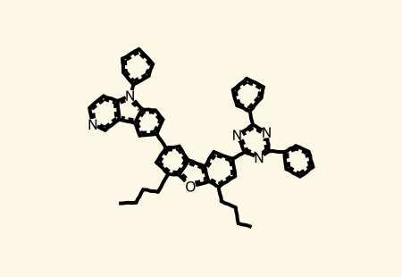 CCCCc1cc(-c2ccc3c(c2)c2cnccc2n3-c2ccccc2)cc2c1oc1c(CCCC)cc(-c3nc(-c4ccccc4)nc(-c4ccccc4)n3)cc12